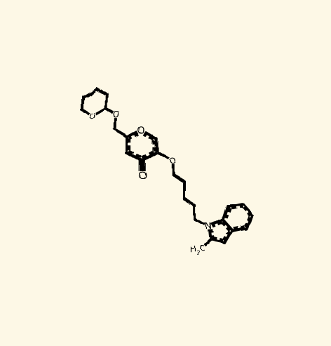 Cc1cc2ccccc2n1CCCCCOc1coc(COC2CCCCO2)cc1=O